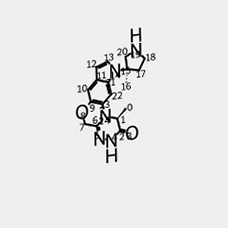 C[C@H]1C(=O)NN=C2COc3cc4ccn([C@]5(C)CCNC5)c4cc3N21